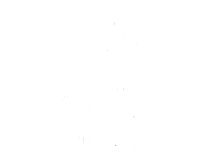 C=C(C)C(=O)OCCO\C(C)=c1/cccc/c1=C(Cl)/C=C(\C)Cl